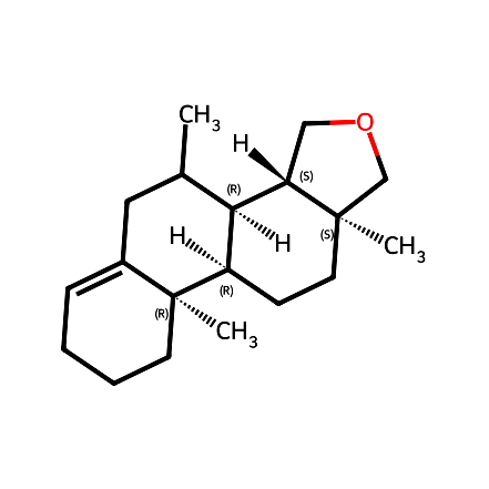 CC1CC2=CCCC[C@]2(C)[C@@H]2CC[C@]3(C)COC[C@H]3[C@H]12